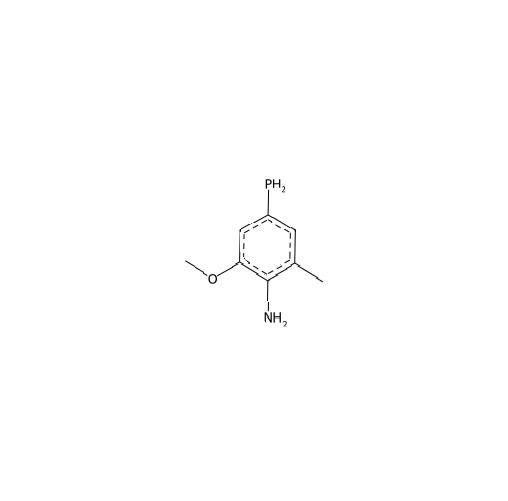 COc1cc(P)cc(C)c1N